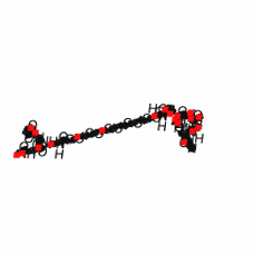 CCNC(=O)CCCNC(=O)[C@H](CCCCNC(=O)COCCOCCOCCOCCOCCOCCOCCOCCOCCOC(=O)Nc1cc(C[C@@H](C[C@H](C)C(=O)O)NC(=O)c2csc([C@@H](C[C@H](C(C)C)N(C)C(=O)[C@@H](NC(=O)C(C)(C)N(C)C)[C@@H](C)CC)OC(C)=O)n2)ccc1O)NC(=O)CCCN1C(=O)C=CC1=O